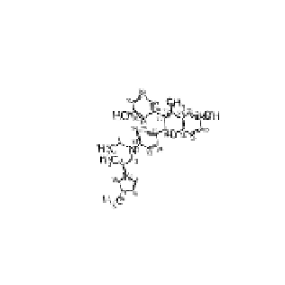 CCN(CC(C)N1CCC(C)C1)c1ccc(C2Oc3ccc(O)cc3C(C)=C2c2cccc(O)c2)cc1